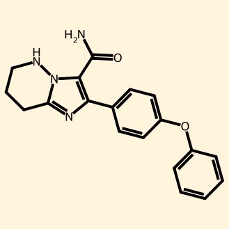 NC(=O)c1c(-c2ccc(Oc3ccccc3)cc2)nc2n1NCCC2